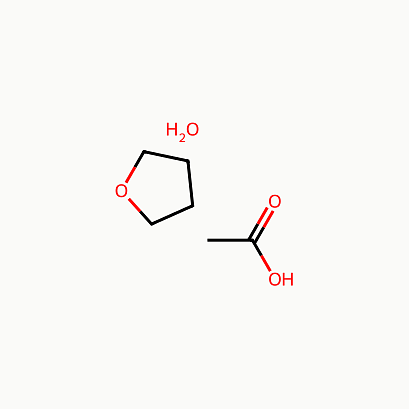 C1CCOC1.CC(=O)O.O